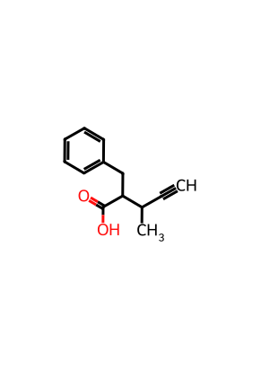 C#CC(C)C(Cc1ccccc1)C(=O)O